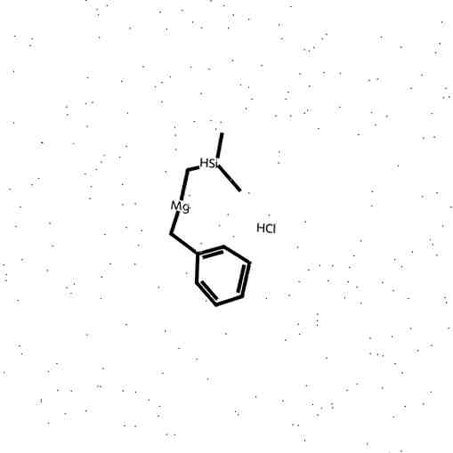 C[SiH](C)[CH2][Mg][CH2]c1ccccc1.Cl